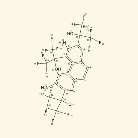 Nc1cc2c(ccc3cc(C(O)(C(F)(F)F)C(F)(F)F)c(N)c(C(O)(C(F)(F)F)C(F)(F)F)c32)cc1C(O)(C(F)(F)F)C(F)(F)F